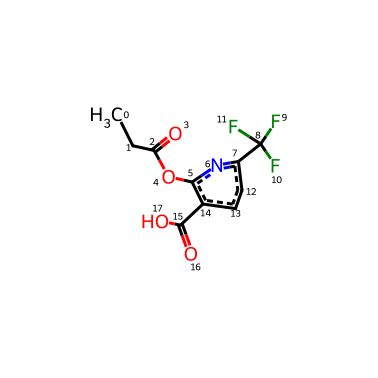 CCC(=O)Oc1nc(C(F)(F)F)ccc1C(=O)O